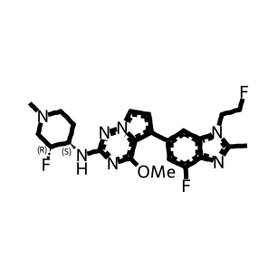 COc1nc(N[C@H]2CCN(C)C[C@H]2F)nn2ccc(-c3cc(F)c4nc(C)n(CCF)c4c3)c12